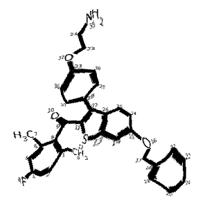 Cc1cc(F)cc(C)c1C(=O)c1sc2cc(OCc3ccccc3)ccc2c1-c1ccc(OCCN)cc1